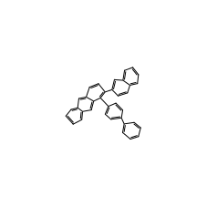 c1ccc(-c2ccc(-c3c(-c4ccc5ccccc5c4)ccc4cc5ccccc5cc34)cc2)cc1